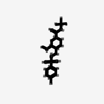 COC1CN(C(=O)OC(C)(C)C)CCC1COS(=O)(=O)c1ccc(C)cc1